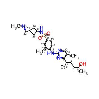 CC[C@H](CC[C@@H](C)O)c1nc(Nc2ccc(S(=O)(=O)NC3CC(/C=N/C)C3)cc2C)ncc1C(F)(F)F